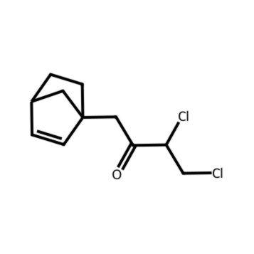 O=C(CC12C=CC(CC1)C2)C(Cl)CCl